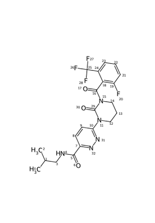 CC(C)CNC(=O)c1ccc(N2CCCN(C(=O)c3c(F)cccc3C(F)(F)F)C2=O)nn1